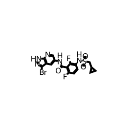 O=C(Nc1cnc2[nH]nc(Br)c2c1)c1c(F)ccc(NS(=O)(=O)CC2CC2)c1F